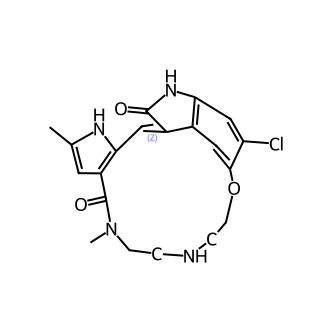 Cc1cc2c([nH]1)/C=C1\C(=O)Nc3cc(Cl)c(cc31)OCCNCCN(C)C2=O